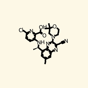 Cc1cc([C@@H](C)Nc2ccc(Cl)nc2C(=O)O)c2nc(N3CCOC(C)(C)C3)c(C#N)nc2c1